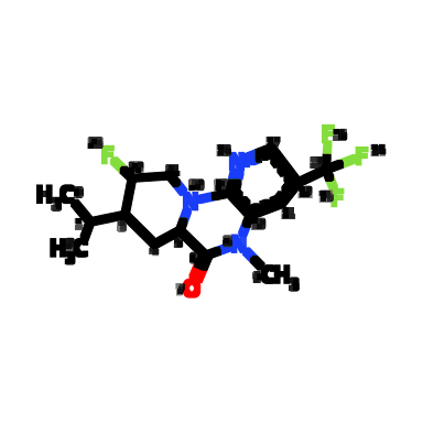 CC(C)C1CC2C(=O)N(C)c3cc(C(F)(F)F)cnc3N2CC1F